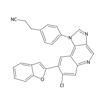 N#CCCc1ccc(-n2cnc3cnc4cc(Cl)c(-c5cc6ccccc6o5)cc4c32)cc1